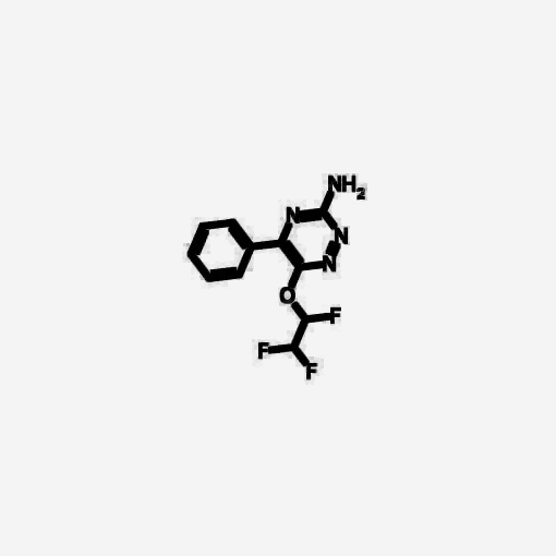 Nc1nnc(OC(F)C(F)F)c(-c2ccccc2)n1